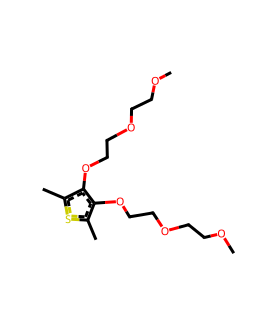 COCCOCCOc1c(C)sc(C)c1OCCOCCOC